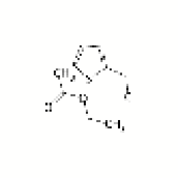 CCOC(C)=O.ClCc1cccs1